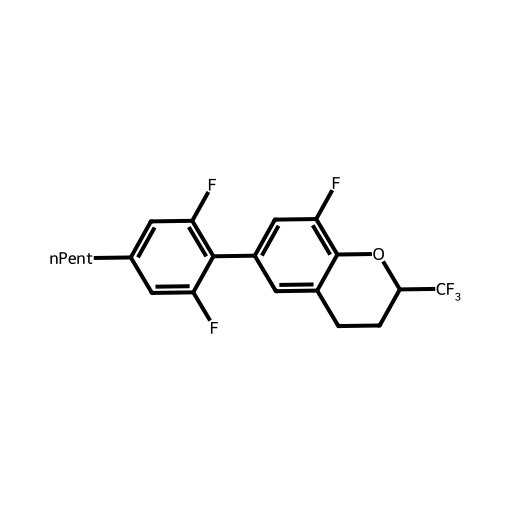 CCCCCc1cc(F)c(-c2cc(F)c3c(c2)CCC(C(F)(F)F)O3)c(F)c1